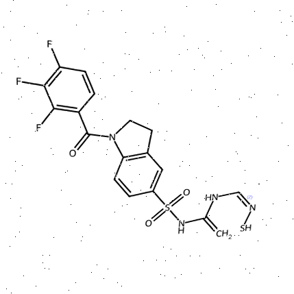 C=C(N/C=N\S)NS(=O)(=O)c1ccc2c(c1)CCN2C(=O)c1ccc(F)c(F)c1F